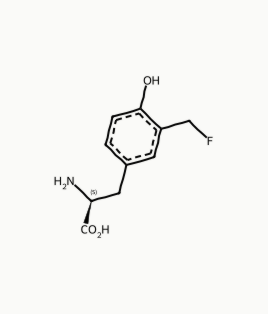 N[C@@H](Cc1ccc(O)c(CF)c1)C(=O)O